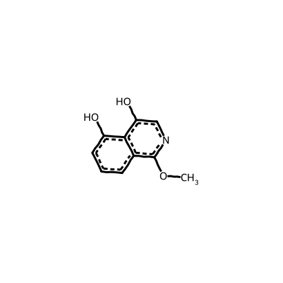 COc1ncc(O)c2c(O)cccc12